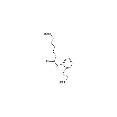 CCCCCCCCCCCCCCCC(CC)Oc1ccccc1C=CC(=O)O